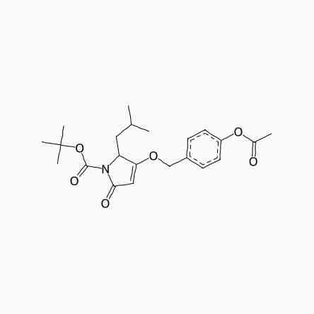 CC(=O)Oc1ccc(COC2=CC(=O)N(C(=O)OC(C)(C)C)C2CC(C)C)cc1